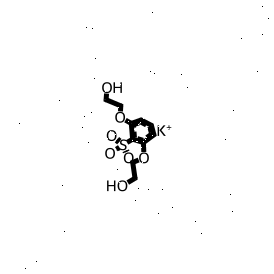 O=S(=O)([O-])c1c(OCCO)cccc1OCCO.[K+]